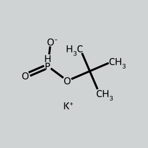 CC(C)(C)O[PH](=O)[O-].[K+]